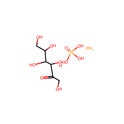 O=C(CO)C(O)C(O)C(O)CO.O=P(O)(O)O.P